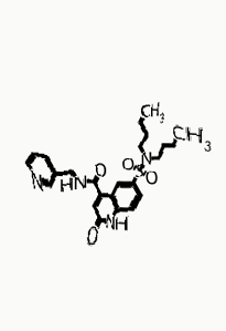 CCCCN(CCCC)S(=O)(=O)c1ccc2[nH]c(=O)cc(C(=O)NCc3cccnc3)c2c1